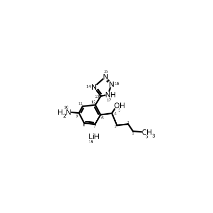 CCCCC(O)c1ccc(N)cc1-c1nnn[nH]1.[LiH]